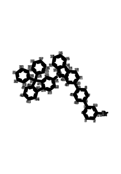 Brc1cccc(-c2ccc(-c3ccc4c5ccccc5n(-c5ccc6c(c5)C(c5ccccc5)(c5ccccc5)c5ccccc5-6)c4c3)cc2)c1